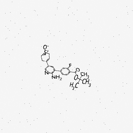 CC(C)(C)OC(=O)c1ccc(-c2cc(C3=CC[S@+]([O-])CC3)cnc2N)cc1F